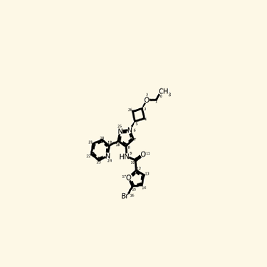 CCO[C@H]1C[C@@H](n2cc(NC(=O)c3ccc(Br)o3)c(-c3ccccn3)n2)C1